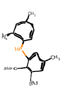 COc1c(Pc2ccc(C)cc2C(C)=O)cc(C)cc1C(C)(C)C